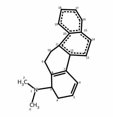 CN(C)C1CC=CC2=C1CCc1c2ccc2ccccc12